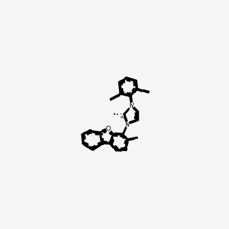 Cc1cccc(C)c1N1C=CN(c2c(C)ccc3c2oc2ccccc23)[C@@H]1C